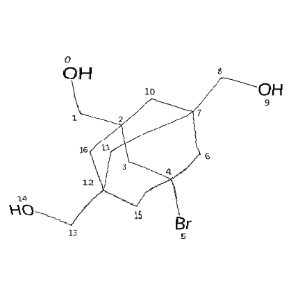 OCC12CC3(Br)CC(CO)(C1)CC(CO)(C3)C2